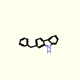 c1ccc(Cc2ccc3c(c2)[nH]c2ccccc23)cc1